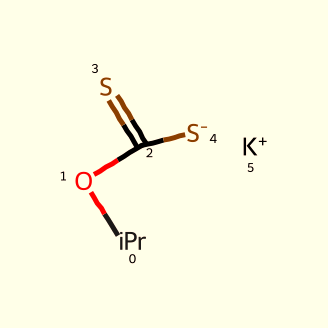 CC(C)OC(=S)[S-].[K+]